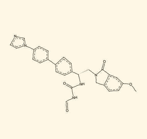 COc1ccc2c(c1)C(=O)N(C[C@H](NC(=O)NC=O)c1ccc(-c3ccc(-n4ccnc4)cc3)cc1)C2